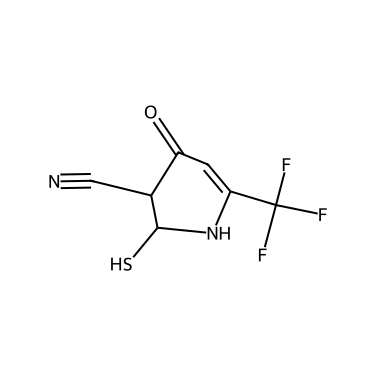 N#CC1C(=O)C=C(C(F)(F)F)NC1S